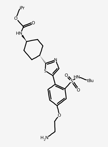 CC(C)OC(=O)N[C@H]1CC[C@H](c2ncc(-c3ccc(OCCN)cc3S(=O)(=O)NC(C)(C)C)s2)CC1